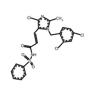 Cc1nc(Cl)c(C=CC(=O)NS(=O)(=O)c2ccccc2)n1Cc1ccc(Cl)cc1Cl